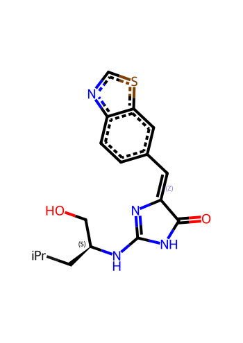 CC(C)C[C@@H](CO)NC1=N/C(=C\c2ccc3ncsc3c2)C(=O)N1